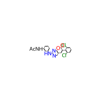 CC(=O)Nc1cccc(Nc2ncc3cc(-c4c(Cl)cccc4Cl)c(=O)oc3n2)c1